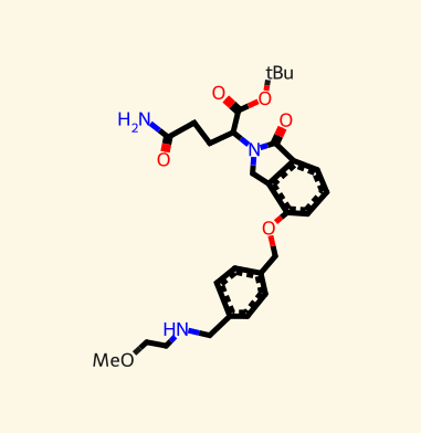 COCCNCc1ccc(COc2cccc3c2CN(C(CCC(N)=O)C(=O)OC(C)(C)C)C3=O)cc1